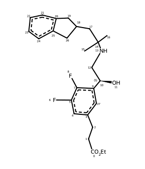 CCOC(=O)CCc1cc(F)c(F)c([C@H](O)CNC(C)(C)CC2Cc3ccccc3C2)c1